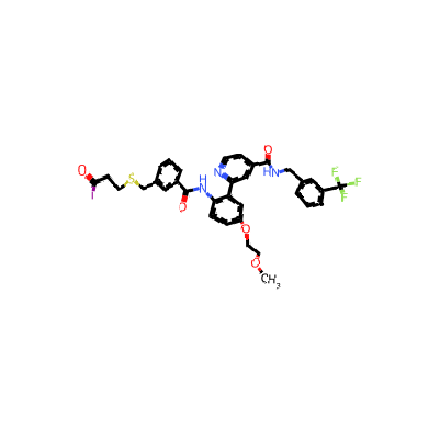 COCCOc1ccc(NC(=O)c2cccc(CSCCC(=O)I)c2)c(-c2cc(C(=O)NCc3cccc(C(F)(F)F)c3)ccn2)c1